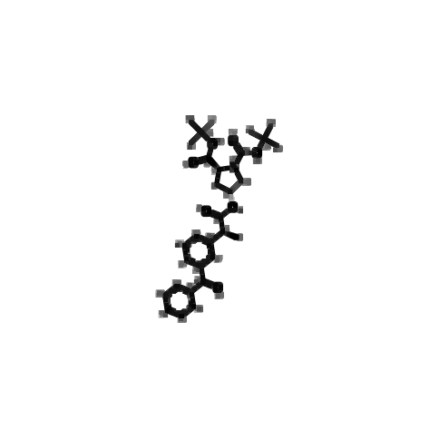 C[C@H](C(=O)O[C@@H]1C[C@@H](C(=O)OC(C)(C)C)N(C(=O)OC(C)(C)C)C1)c1cccc(C(=O)c2ccccc2)c1